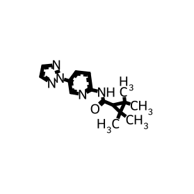 CC1(C)C(C(=O)Nc2ccc(-n3nccn3)cn2)C1(C)C